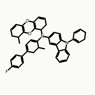 CC1CC(c2ccc(F)cc2)=CC=C1N(c1ccc2c(c1)c1ccccc1n2C1=CCCC=C1)C1CC=CC2=C1OC1=C(C=CCC1C)O2